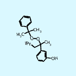 CC(C)CC(C)(OOC(C)(C)c1ccccc1)c1cccc(O)c1